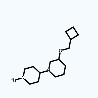 [2H]N1CCC(N2CCCC(OCC3CCC3)C2)CC1